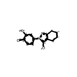 Oc1cc(-n2nc3c(c2Cl)CCCC3)ccc1Cl